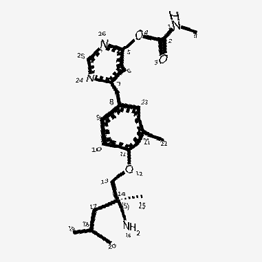 CNC(=O)Oc1cc(-c2ccc(OC[C@@](C)(N)CC(C)C)c(C)c2)ncn1